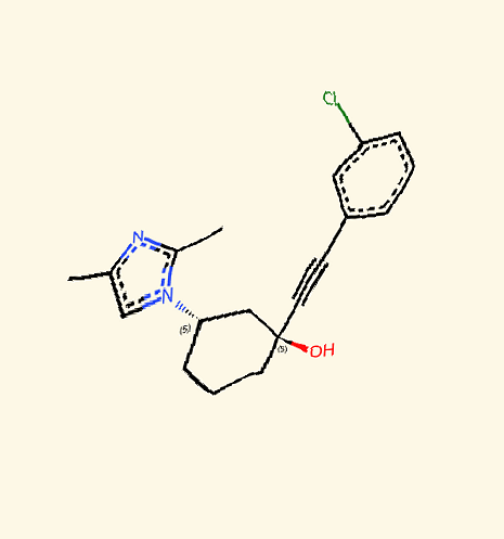 Cc1cn([C@H]2CCC[C@@](O)(C#Cc3cccc(Cl)c3)C2)c(C)n1